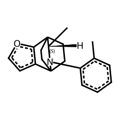 Cc1ccccc1N1[C@@H](C)C23CCC1(CC2)c1ccoc13